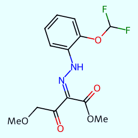 COCC(=O)/C(=N/Nc1ccccc1OC(F)F)C(=O)OC